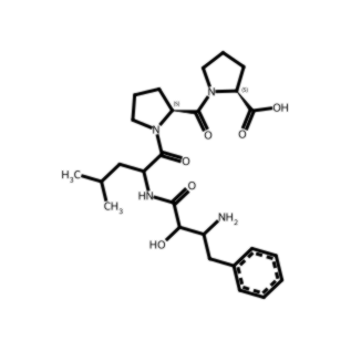 CC(C)CC(NC(=O)C(O)C(N)Cc1ccccc1)C(=O)N1CCC[C@H]1C(=O)N1CCC[C@H]1C(=O)O